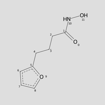 O=C(C[CH]Cc1ccco1)NO